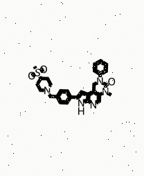 CN1C(=O)N(c2ccccc2)Cc2c1cnc1[nH]c(-c3ccc(CN4CCC(S(C)(=O)=O)CC4)cc3)cc21